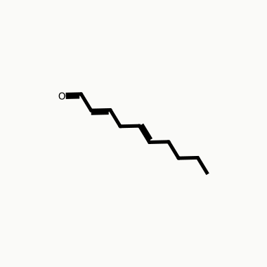 CCCC/C=C/C/C=C/C=O